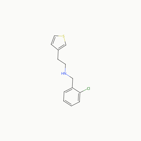 Clc1ccccc1CNCCc1ccsc1